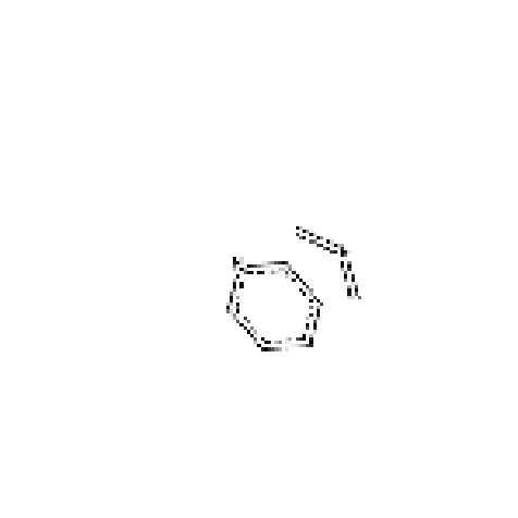 [CH2]=[Ir]=[CH2].c1ccncc1